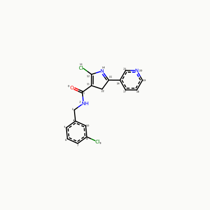 O=C(NCc1cccc(Cl)c1)C1=C(Cl)N=C(c2cccnc2)C1